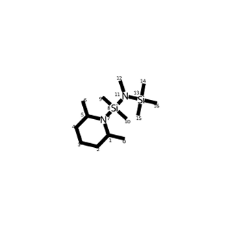 CC1CCCC(C)N1[Si](C)(C)N(C)[Si](C)(C)C